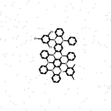 Cc1cc(C)c(B2c3ccccc3N3c4cc5c(cc4B4c6ccccc6N6c7ccccc7B7c8ccccc8Oc8c7c6c4c3c82)B(c2c(C(C)C)cc(C(C)C)cc2C(C)C)c2ccccc2N5c2ccccc2)c(C)c1